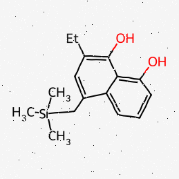 CCc1cc(C[Si](C)(C)C)c2cccc(O)c2c1O